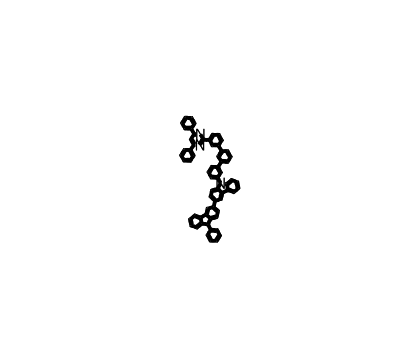 c1ccc(-c2cc(-c3ccccc3)nc(-c3cccc(-c4cccc(-c5cccc(-n6c7ccccc7c7cc(-c8ccc9c(c8)-c8ccccc8C9c8ccccc8)ccc76)c5)c4)c3)n2)cc1